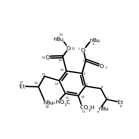 CCCCOC(=O)c1c(CC(CC)CCCC)c(C(=O)O)c(C(=O)O)c(CC(CC)CCCC)c1C(=O)OCCCC